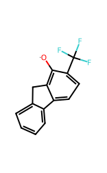 [O]c1c(C(F)(F)F)ccc2c1Cc1ccccc1-2